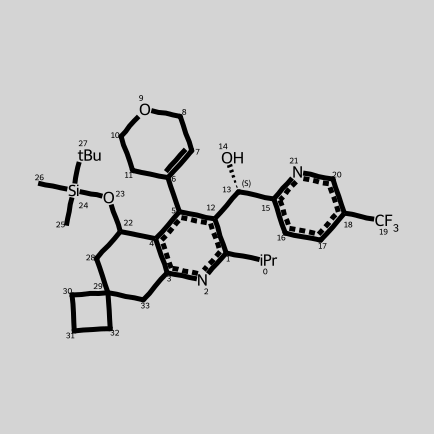 CC(C)c1nc2c(c(C3=CCOCC3)c1[C@H](O)c1ccc(C(F)(F)F)cn1)C(O[Si](C)(C)C(C)(C)C)CC1(CCC1)C2